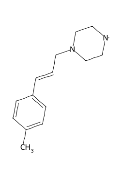 Cc1ccc(C=CCN2CC[N]CC2)cc1